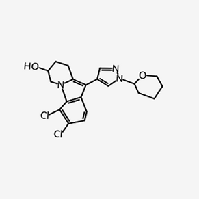 OC1CCc2c(-c3cnn(C4CCCCO4)c3)c3ccc(Cl)c(Cl)c3n2C1